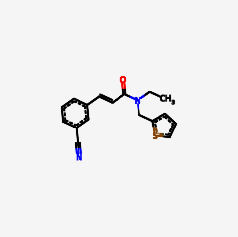 CCN(Cc1cccs1)C(=O)C=Cc1cccc(C#N)c1